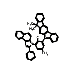 Cc1cc(-n2c(-c3ccccc3)nc3c4ccccc4ccc32)c(Cl)c(-n2c3ccccc3c3cc4c(cc32)C(C)(C)c2ccccc2-4)c1